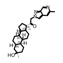 Cc1cc2cn(CC(=O)[C@H]3CC[C@H]4[C@@H]5CC[C@@H]6C[C@](C)(O)CC[C@@H]6[C@H]5CC[C@]34C)nc2cn1